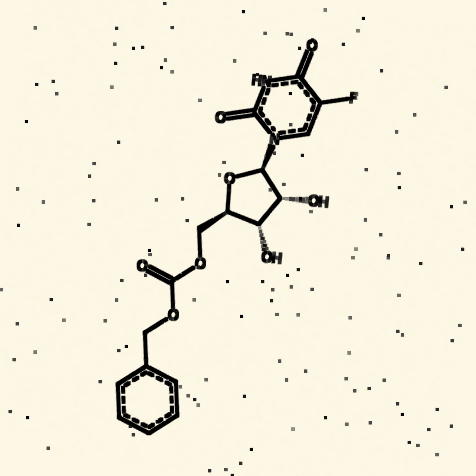 O=C(OCc1ccccc1)OC[C@H]1O[C@@H](n2cc(F)c(=O)[nH]c2=O)[C@H](O)[C@@H]1O